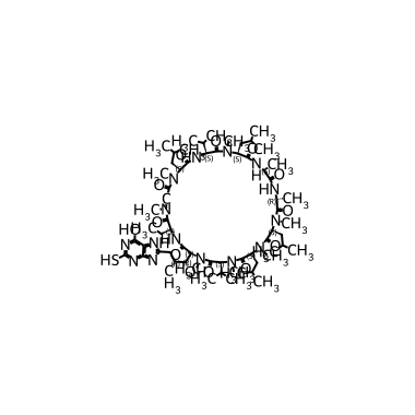 CC[C@@H]1NC(=O)[C@H]([C@H](O)[C@H](C)Cc2nc3nc(S)nc(O)c3[nH]2)N(C)C(=O)[C@H](C(C)C)N(C)C(=O)[C@H](CC(C)C)N(C)C(=O)[C@H](CC(C)C)N(C)C(=O)[C@@H](C)NC(=O)[C@H](C)NC(=O)[C@H](CC(C)C)N(C)C(=O)[C@H](C(C)C)NC(=O)[C@H](CC(C)C)N(C)C(=O)CN(C)C1=O